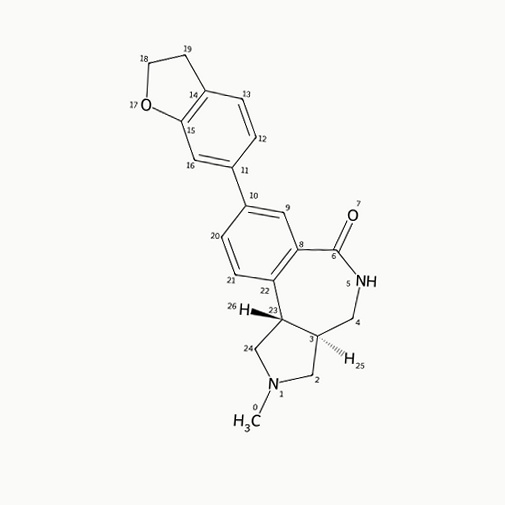 CN1C[C@@H]2CNC(=O)c3cc(-c4ccc5c(c4)OCC5)ccc3[C@H]2C1